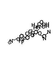 Cc1c(COc2cc(OCc3cncc(C#N)c3)c(CN[C@](C)(CO)C(=O)O)cc2Cl)cccc1-c1cccc(OCCCN2CCCC2)c1C(F)(F)F